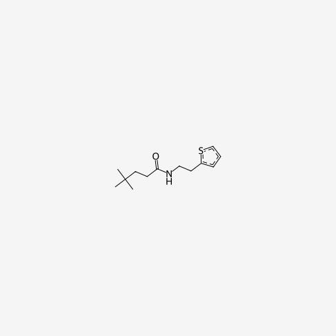 CC(C)(C)CCC(=O)NCCc1cccs1